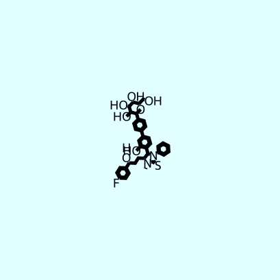 CN1C(=S)N(c2ccccc2)C(c2ccc(-c3ccc(C4OC(CO)C(O)C(O)C4O)cc3)cc2O)C1CCC(O)c1ccc(F)cc1